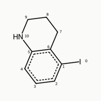 Ic1cccc2c1CCCN2